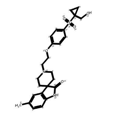 Cc1ccc2c(c1)C1(CCN(CCOc3ccc(S(=O)(=O)C4(CO)CC4)cc3)CC1)C(=O)N2